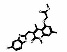 COC(=O)COc1cc(C)cc2c1c(C)c(Cc1nc3cc(F)ccc3s1)c(=O)n2C